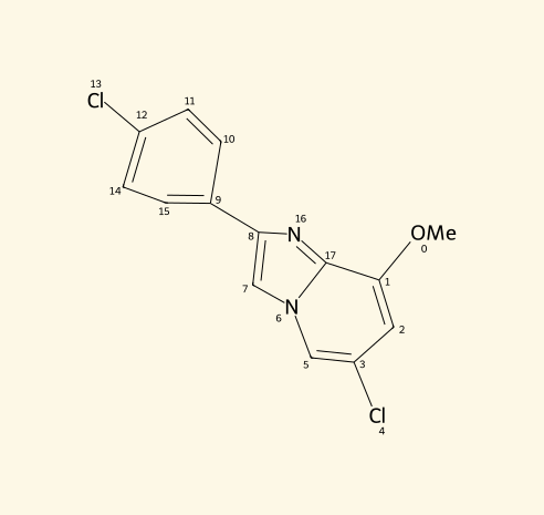 COc1cc(Cl)cn2cc(-c3ccc(Cl)cc3)nc12